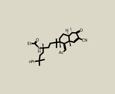 CCCC(C)(C)CC[C@@](C)(CCC(C)(C)[C@]1(C)CC[C@H]2[C@H](C)C(=O)C(C#N)=C[C@]2(C)/C1=C/C(C)=O)NC(=O)CC